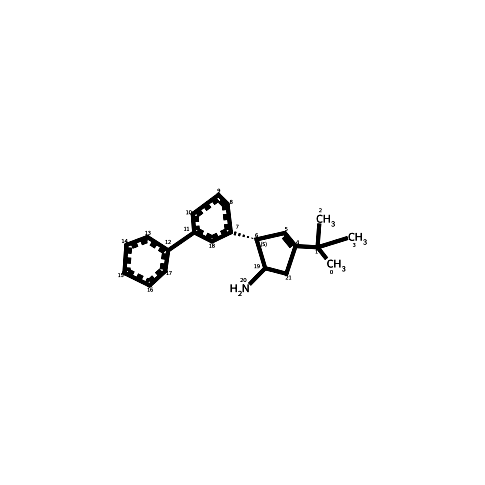 CC(C)(C)C1=C[C@@H](c2cccc(-c3ccccc3)c2)C(N)C1